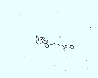 Cn1c(=O)n(C2CCCCNC2=O)c2cccc(C#CCCCCCC(=O)OCc3ccccc3)c21